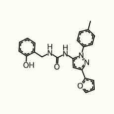 Cc1ccc(-n2nc(-c3ccco3)cc2NC(=O)NCc2ccccc2O)cc1